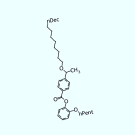 CCCCCCCCCCCCCCCCCCOC(C)c1ccc(C(=O)Oc2ccccc2OCCCCC)cc1